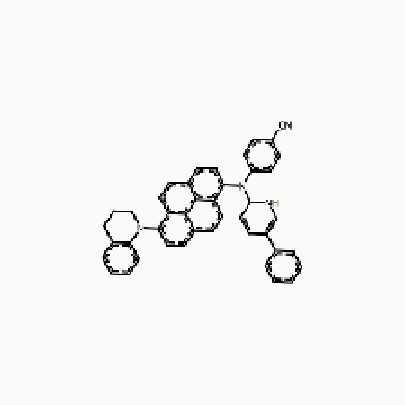 N#Cc1ccc(N(c2ccc3ccc4c(N5CCCc6ccccc65)ccc5ccc2c3c54)C2C=CC(c3ccccc3)=CN2)cc1